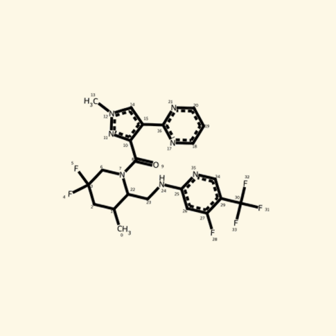 CC1CC(F)(F)CN(C(=O)c2nn(C)cc2-c2ncccn2)C1CNc1cc(F)c(C(F)(F)F)cn1